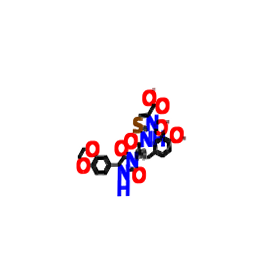 COC(=O)c1csc(NC(=O)[C@H](Cc2ccc(OC)c(OC)c2)N2C(=O)NC(c3ccc4c(c3)OCCO4)C2=O)n1